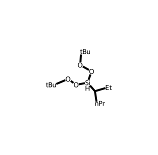 CCCC(CC)[SiH](OOC(C)(C)C)OOC(C)(C)C